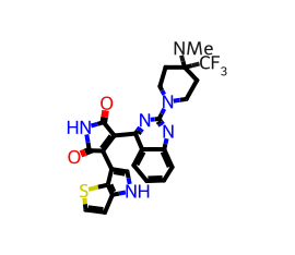 CNC1(C(F)(F)F)CCN(c2nc(C3=C(c4c[nH]c5ccsc45)C(=O)NC3=O)c3ccccc3n2)CC1